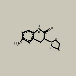 Nc1ccc2c(c1)CC(N1CCCC1)C(=O)N2